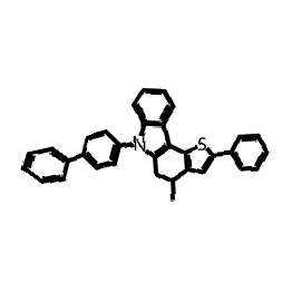 CC1Cc2c(c3ccccc3n2-c2ccc(-c3ccccc3)cc2)-c2sc(-c3ccccc3)cc21